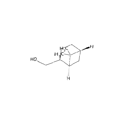 CC1(C)[C@@H]2CCC(CO)[C@@H]1C2